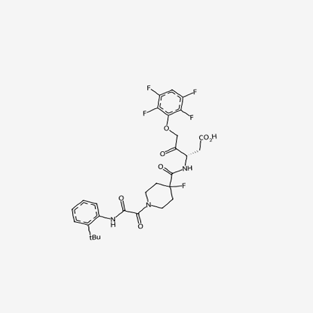 CC(C)(C)c1ccccc1NC(=O)C(=O)N1CCC(F)(C(=O)N[C@@H](CC(=O)O)C(=O)COc2c(F)c(F)cc(F)c2F)CC1